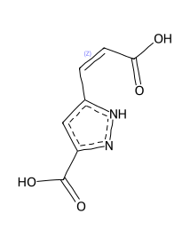 O=C(O)/C=C\c1cc(C(=O)O)n[nH]1